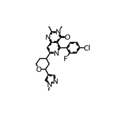 Cc1nc2cc(C3CCOC(c4cnn(C)c4)C3)nc(-c3ccc(Cl)cc3F)c2c(=O)n1C